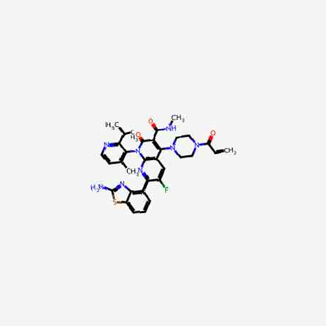 C=CC(=O)N1CCN(c2c(C(=O)NC)c(=O)n(-c3c(C)ccnc3C(C)C)c3nc(-c4cccc5sc(N)nc45)c(F)cc23)CC1